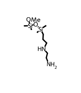 CO[Si](C)(C)O[Si](C)(C)CCCNCCN